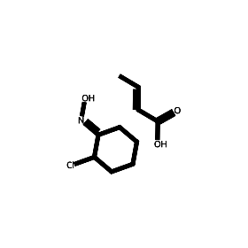 CC=CC(=O)O.ON=C1CCCCC1Cl